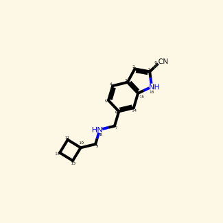 N#Cc1cc2ccc(CNCC3CCC3)cc2[nH]1